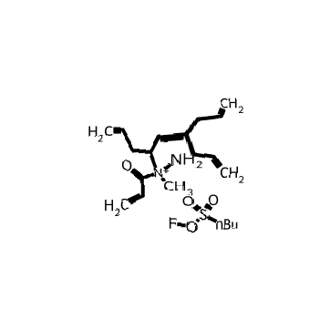 C=CCC(=CC(CC=C)[N+](C)(N)C(=O)C=C)CC=C.CCCCS(=O)(=O)OF